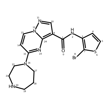 O=C(Nc1ccsc1Br)c1cnn2ccc(N3CCCNCC3)nc12